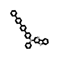 c1ccc(-c2ccc(-c3ccc(-c4ccc(N(c5ccccc5)c5cnc6c(c5)sc5ccccc56)cc4)cc3)cc2)cc1